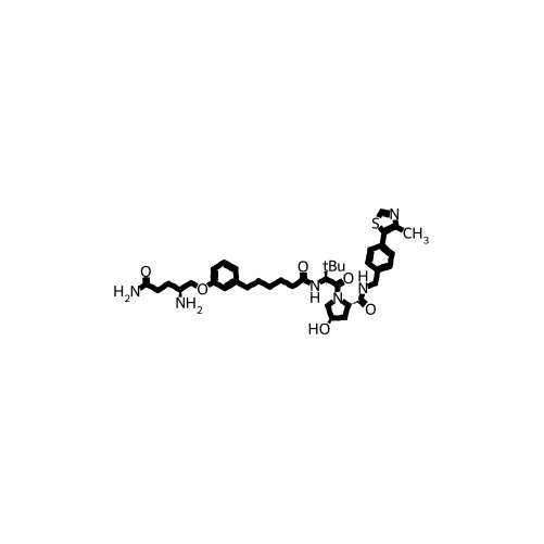 Cc1ncsc1-c1ccc(CNC(=O)[C@@H]2C[C@@H](O)CN2C(=O)[C@@H](NC(=O)CCCCCc2cccc(OC[C@@H](N)CCC(N)=O)c2)C(C)(C)C)cc1